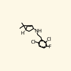 CC1(C)C2=C[C@@H](NCCc3c(Cl)ccc(F)c3Cl)C[C@H]21